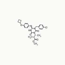 COC(=O)[C@@H](C)[C@@H](C)n1c(=O)[nH]/c(=N\c2ccc(OC3CCC3)cc2)n(Cc2ccc(Cl)cc2)c1=O